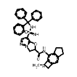 C[C@@H]1Cc2cc3c(c(NC(=O)C4Cn5ncc(S(=N)(=O)NC(c6ccccc6)(c6ccccc6)c6ccccc6)c5O4)c21)CCC3